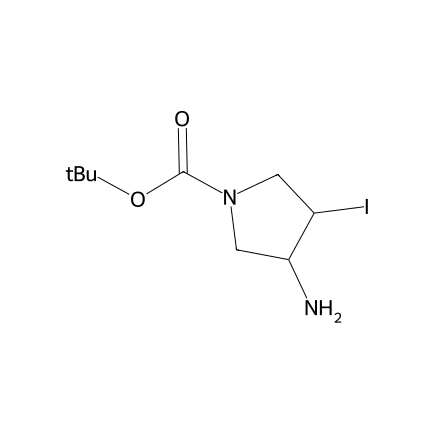 CC(C)(C)OC(=O)N1CC(N)C(I)C1